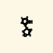 [C]1=NC(c2ccc[nH]2)CO1